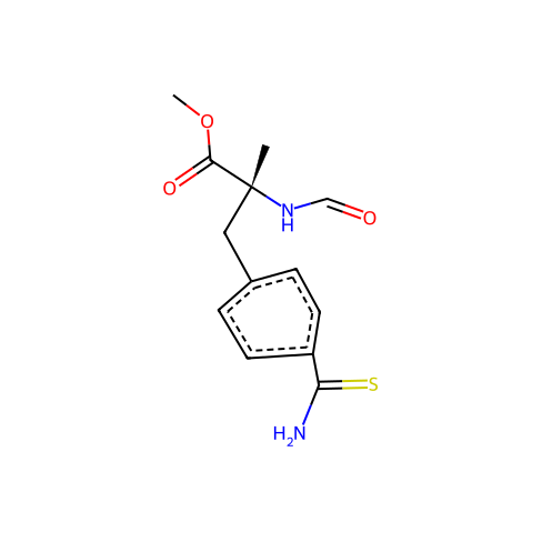 COC(=O)[C@@](C)(Cc1ccc(C(N)=S)cc1)NC=O